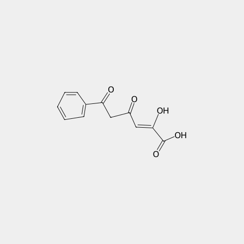 O=C(C=C(O)C(=O)O)CC(=O)c1ccccc1